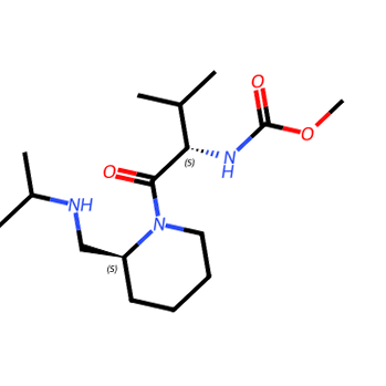 COC(=O)N[C@H](C(=O)N1CCCC[C@H]1CNC(C)C)C(C)C